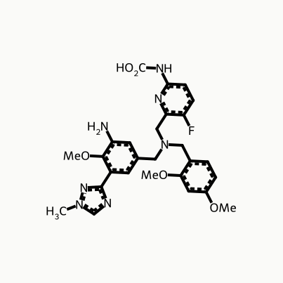 COc1ccc(CN(Cc2cc(N)c(OC)c(-c3ncn(C)n3)c2)Cc2nc(NC(=O)O)ccc2F)c(OC)c1